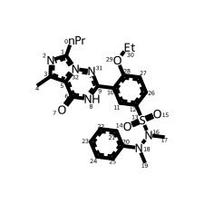 CCCc1nc(C)c2c(=O)[nH]c(-c3cc(S(=O)(=O)N(C)N(C)c4ccccc4)ccc3OCC)nn12